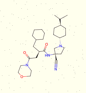 CC(C)[C@H]1CC[C@H](N2CC[C@](C#N)(NC(=O)[C@@H](CC(=O)N3CCOCC3)CC3CCCCC3)C2)CC1